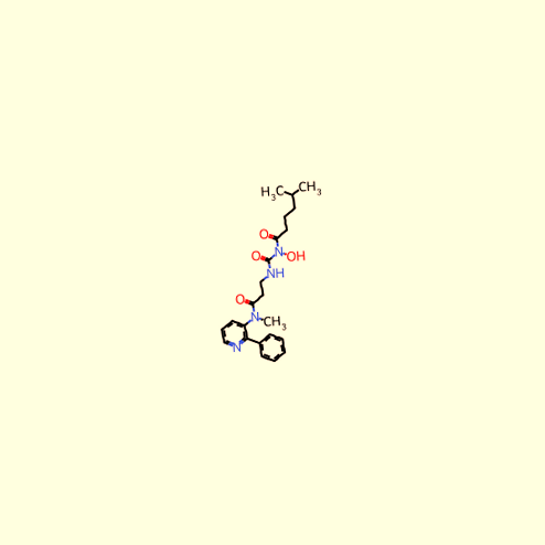 CC(C)CCCC(=O)N(O)C(=O)NCCC(=O)N(C)c1cccnc1-c1ccccc1